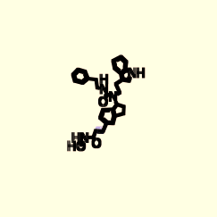 O=C(/C=C/c1ccc2c(c1)CCC2N(CCc1c[nH]c2ccccc12)C(=O)NCCc1ccccc1)NO